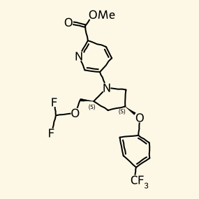 COC(=O)c1ccc(N2C[C@@H](Oc3ccc(C(F)(F)F)cc3)C[C@H]2COC(F)F)cn1